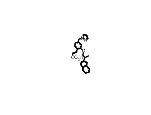 CC(COc1cc(Cn2cccn2)ccc1C=CC(=O)O)c1ccc2ccccc2c1